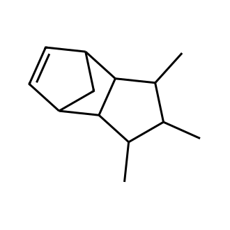 CC1C(C)C2C3C=CC(C3)C2C1C